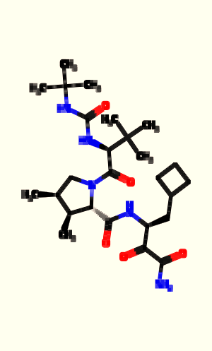 C[C@@H]1[C@@H](C(=O)N[C@@H](CC2CCC2)C(=O)C(N)=O)N(C(=O)[C@@H](NC(=O)NC(C)(C)C)C(C)(C)C)C[C@@H]1C